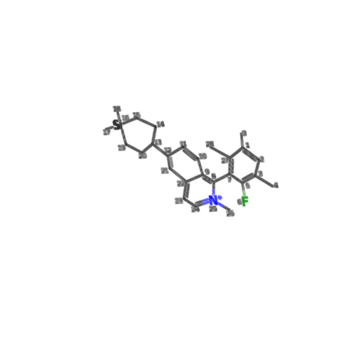 Cc1cc(C)c(F)c(-c2c3ccc(C4CC[Si](C)(C)CC4)cc3cc[n+]2C)c1C